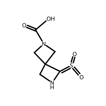 O=C(O)N1CC2(CNC2=S(=O)=O)C1